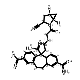 N#CC1C[C@@H]2C[C@@H]2N1C(=O)CNCCC1(C(=N)N)c2ccc(C(N)=O)cc2CCC2C=C(C(N)=O)C=CC21